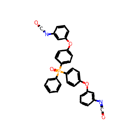 O=C=Nc1cccc(Oc2ccc(P(=O)(c3ccccc3)c3ccc(Oc4cccc(N=C=O)c4)cc3)cc2)c1